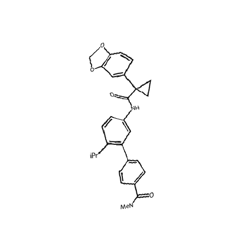 CNC(=O)c1ccc(-c2cc(NC(=O)C3(c4ccc5c(c4)OCO5)CC3)ccc2C(C)C)cc1